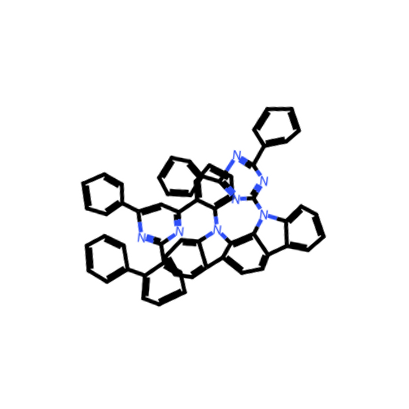 c1ccc(-c2cc(-c3ccccc3-n3c4ccccc4c4ccc5c6ccccc6n(-c6nc(-c7ccccc7)nc(-c7ccccc7)n6)c5c43)nc(-c3ccccc3-c3ccccc3)n2)cc1